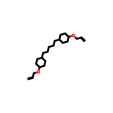 C=CCOC1CCC(CCCCCC2CCC(OCC=C)CC2)CC1